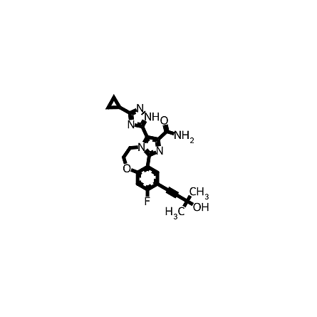 CC(C)(O)C#Cc1cc2c(cc1F)OCCn1c-2nc(C(N)=O)c1-c1nc(C2CC2)n[nH]1